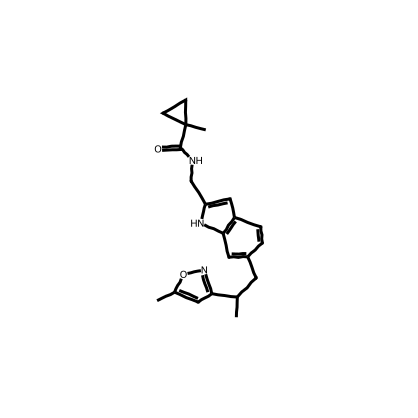 Cc1cc(C(C)Cc2ccc3cc(CNC(=O)C4(C)CC4)[nH]c3c2)no1